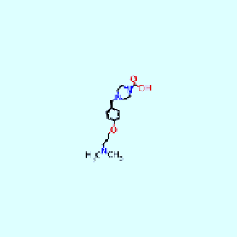 CN(C)CCCOc1ccc(CN2CCN(C(=O)O)CC2)cc1